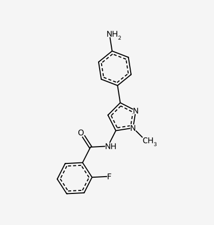 Cn1nc(-c2ccc(N)cc2)cc1NC(=O)c1ccccc1F